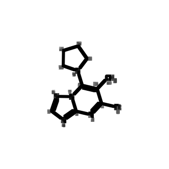 CCc1nc2ncnn2c(N2CCCC2)c1C